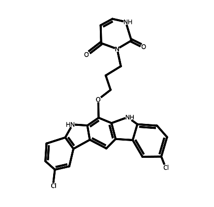 O=c1cc[nH]c(=O)n1CCCOc1c2[nH]c3ccc(Cl)cc3c2cc2c1[nH]c1ccc(Cl)cc12